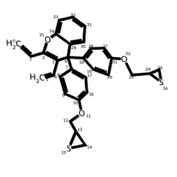 C=CC1=C(C=C)C(c2ccc(OCC3CS3)cc2)(c2ccc(OCC3CS3)cc2)c2ccccc2O1